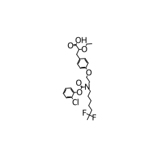 CCOC(Cc1ccc(OCCN(CCCCCC(C)(F)F)C(=O)Oc2ccccc2Cl)cc1)C(=O)O